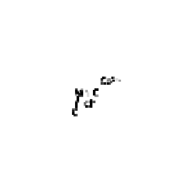 [Cl-].[Cl-].[Cl][Mn].[Co+2]